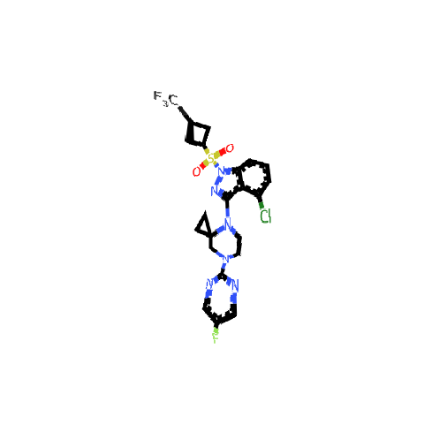 O=S(=O)(n1nc(N2CCN(c3ncc(F)cn3)CC23CC3)c2c(Cl)cccc21)C12CC(C(F)(F)F)(C1)C2